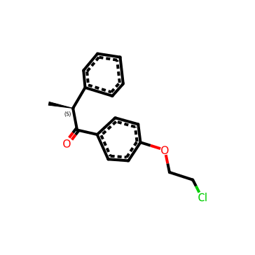 C[C@H](C(=O)c1ccc(OCCCl)cc1)c1ccccc1